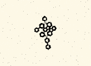 C1=CCCC(N(c2ccc(-c3ccccc3)cc2)C2CC=CC3=C2c2ccccc2C32c3ccccc3-c3ccc(N(c4ccccc4)c4ccc(-c5ccccc5)cc4)cc32)=C1